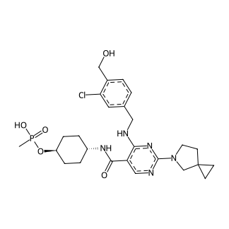 CP(=O)(O)O[C@H]1CC[C@H](NC(=O)c2cnc(N3CCC4(CC4)C3)nc2NCc2ccc(CO)c(Cl)c2)CC1